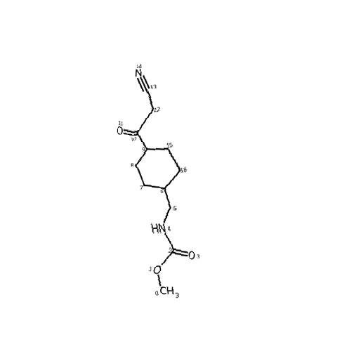 COC(=O)NCC1CCC(C(=O)CC#N)CC1